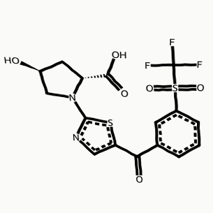 O=C(c1cccc(S(=O)(=O)C(F)(F)F)c1)c1cnc(N2C[C@@H](O)C[C@@H]2C(=O)O)s1